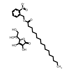 CCCCCCCCCCCCCCCC(=O)OCc1ccccc1[N+](=O)[O-].O=C1O[C@H]([C@@H](O)CO)C(O)=C1O